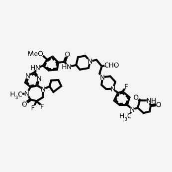 COc1cc(C(=O)NC2CCN(CC(C=O)CN3CCN(c4ccc(N(C)C5CCC(=O)NC5=O)cc4F)CC3)CC2)ccc1Nc1ncc2c(n1)N(C1CCCC1)CC(F)(F)C(=O)N2C